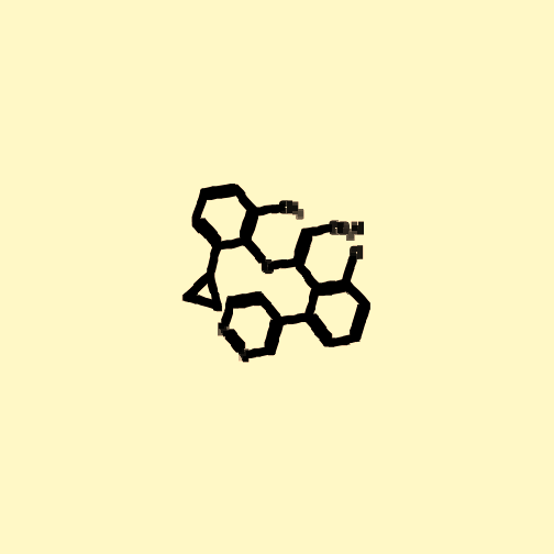 Cc1cccc(C2CC2)c1OC(=CC(=O)O)c1c(Cl)cccc1-c1ccnnc1